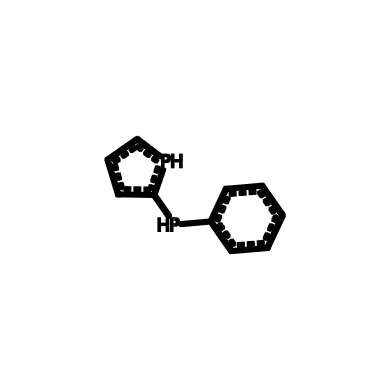 c1ccc(Pc2ccc[pH]2)cc1